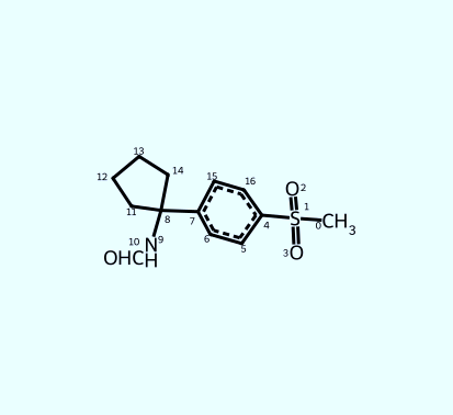 CS(=O)(=O)c1ccc(C2(NC=O)CCCC2)cc1